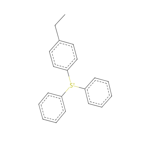 CCc1ccc([S+](c2ccccc2)c2ccccc2)cc1